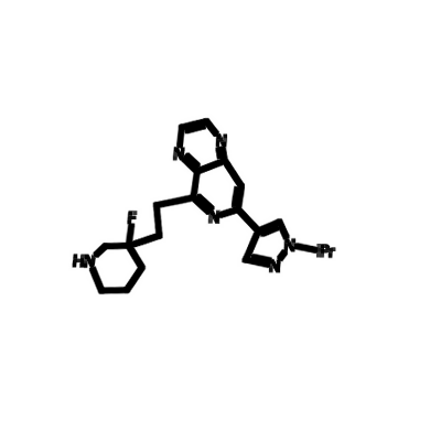 CC(C)n1cc(-c2cc3nccnc3c(CCC3(F)CCCNC3)n2)cn1